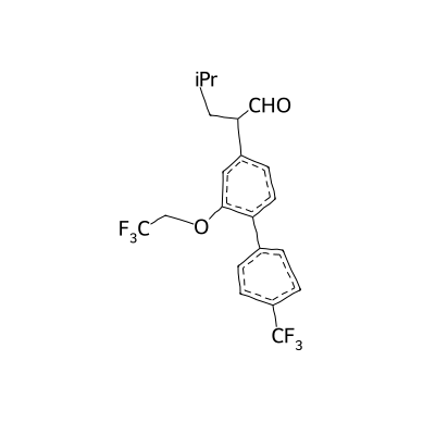 CC(C)CC(C=O)c1ccc(-c2ccc(C(F)(F)F)cc2)c(OCC(F)(F)F)c1